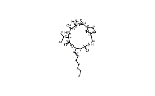 CCCCC/C=C/C1CC(=O)NCc2nc(cs2)C2=N[C@@H](CS2)C(=O)NC(C(C)C)C(=O)O1